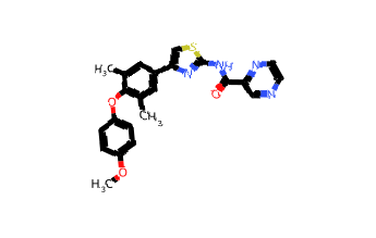 COc1ccc(Oc2c(C)cc(-c3csc(NC(=O)c4cnccn4)n3)cc2C)cc1